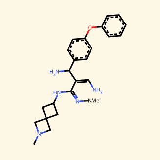 CNN=C(NC1CC2(C1)CN(C)C2)/C(=C\N)C(N)c1ccc(Oc2ccccc2)cc1